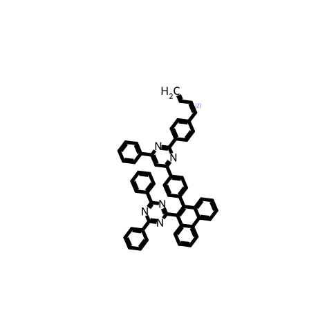 C=C/C=C\c1ccc(-c2nc(-c3ccccc3)cc(-c3ccc(-c4c(-c5nc(-c6ccccc6)nc(-c6ccccc6)n5)c5ccccc5c5ccccc45)cc3)n2)cc1